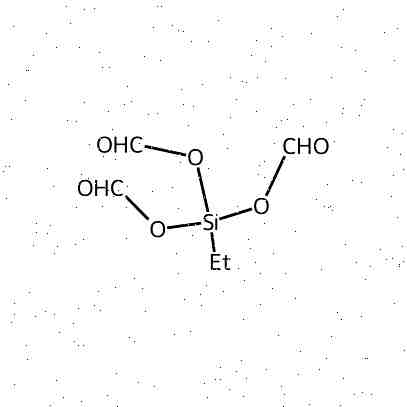 CC[Si](OC=O)(OC=O)OC=O